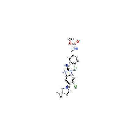 CC(C)(C)OC(=O)NCc1ccc(Cl)c(Nc2nc3cc(Cl)c(N4CCC5(CC5)C4)cc3[nH]2)c1